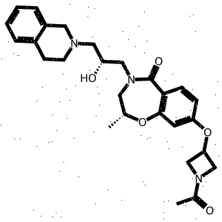 CC(=O)N1CC(Oc2ccc3c(c2)O[C@H](C)CN(C[C@H](O)CN2CCc4ccccc4C2)C3=O)C1